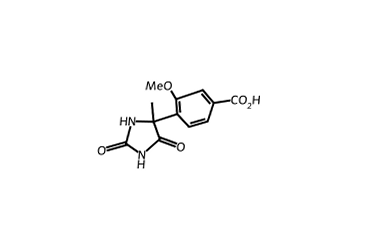 COc1cc(C(=O)O)ccc1C1(C)NC(=O)NC1=O